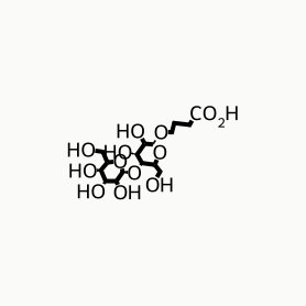 O=C(O)CCCO[C@@H]1OC(CO)[C@@H](O[C@@H]2OC(CO)[C@H](O)[C@H](O)C2O)[C@H](O)C1O